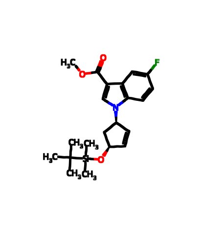 COC(=O)c1cn([C@H]2C=C[C@@H](O[Si](C)(C)C(C)(C)C)C2)c2ccc(F)cc12